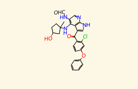 CC1(Nc2c(NC=O)cnc3[nH]cc(C(=O)c4ccc(Oc5ccccc5)cc4Cl)c23)CCC(O)C1